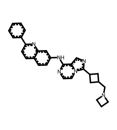 c1ccc(-c2ccc3ccc(Nc4nccn5c(C6CC(CN7CCC7)C6)ncc45)cc3n2)cc1